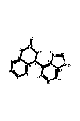 CN1Cc2ccccc2C(c2cccc3scnc23)C1